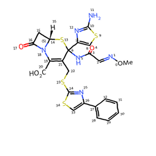 CON=CC(=O)NC1(c2csc(N)n2)S[C@H]2CC(=O)N2C(C(=O)O)=C1CSc1nc(-c2ccccc2)cs1